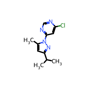 Cc1cc(C(C)C)nn1-c1cc(Cl)ncn1